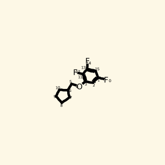 Fc1[c]c(OCC2CCCC2)c(F)c(F)c1